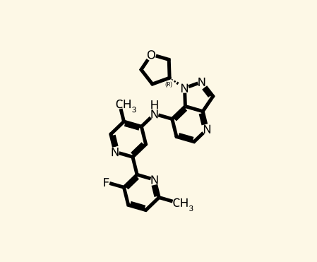 Cc1ccc(F)c(-c2cc(Nc3ccnc4cnn([C@@H]5CCOC5)c34)c(C)cn2)n1